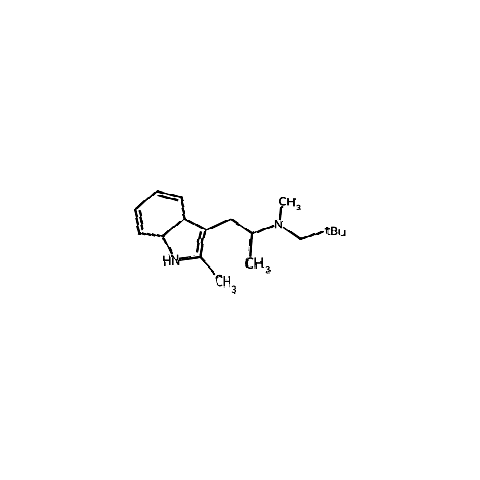 CC1=C(CC(C)N(C)CC(C)(C)C)C2C=CC=CC2N1